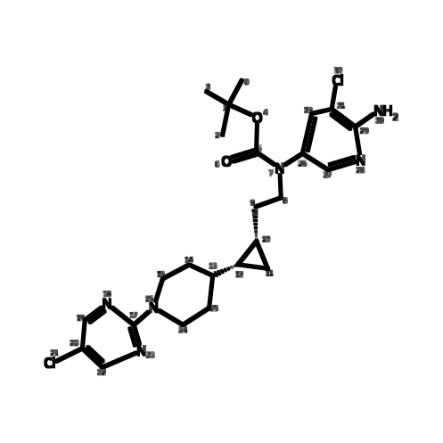 CC(C)(C)OC(=O)N(CC[C@@H]1C[C@@H]1C1CCN(c2ncc(Cl)cn2)CC1)c1cnc(N)c(Cl)c1